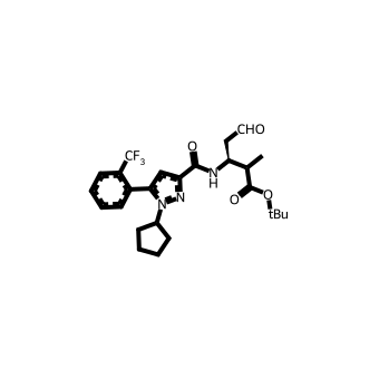 CC(C(=O)OC(C)(C)C)[C@H](CC=O)NC(=O)c1cc(-c2ccccc2C(F)(F)F)n(C2CCCC2)n1